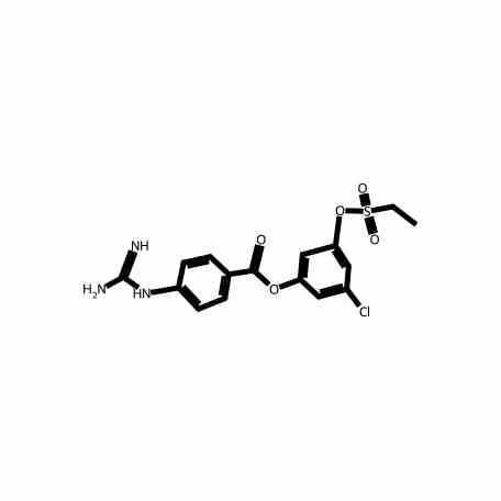 CCS(=O)(=O)Oc1cc(Cl)cc(OC(=O)c2ccc(NC(=N)N)cc2)c1